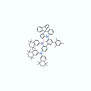 Cc1cc(C)c(-c2cc3c4c(c2)N2c5ccccc5C5(c6ccccc6-c6ccccc65)c5cccc(c52)B4N(c2ccc4c(c2)C(C)(C)CCC4(C)C)c2cc(N(C4=CC5C(C=C4)C(C)(C)CCC5(C)C)C4=CC5C(C=C4)C(C)(C)CCC5(C)C)ccc2-3)c(C)c1